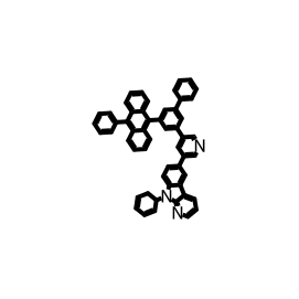 C1=CCC(n2c3ccc(-c4cncc(-c5cc(-c6ccccc6)cc(-c6c7ccccc7c(-c7ccccc7)c7ccccc67)c5)c4)cc3c3cccnc32)C=C1